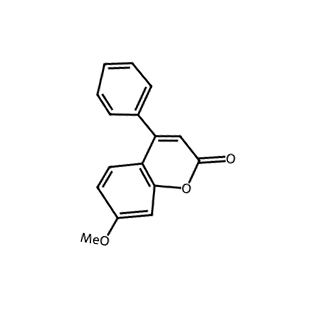 [11CH3]Oc1ccc2c(-c3ccccc3)cc(=O)oc2c1